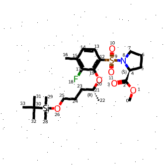 COC(=O)[C@@H]1CCCN1S(=O)(=O)c1ccc(C)c(F)c1O[C@H](C)CCCO[Si](C)(C)C(C)(C)C